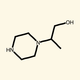 CC(CO)N1CCNCC1